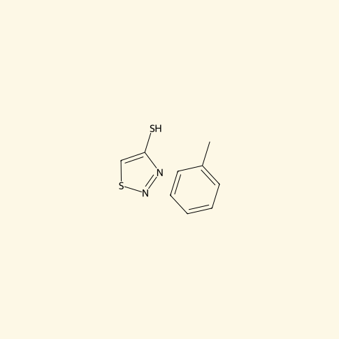 Cc1ccccc1.Sc1csnn1